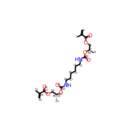 C=C(C)C(=O)OC[C@@H](C)OC(=O)NCCCCCCNC(=O)O[C@H](C)COC(=O)C(=C)C